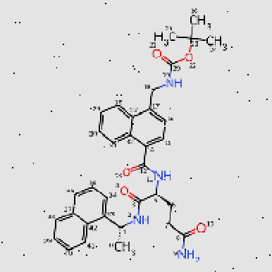 C[C@@H](NC(=O)[C@H](CCC(N)=O)NC(=O)c1ccc(CNC(=O)OC(C)(C)C)c2ccccc12)c1cccc2ccccc12